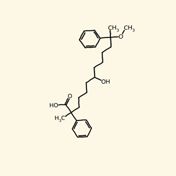 COC(C)(CCCCC(O)CCCCC(C)(C(=O)O)c1ccccc1)c1ccccc1